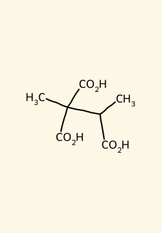 CC(C(=O)O)C(C)(C(=O)O)C(=O)O